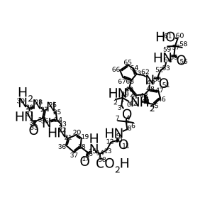 CC(C)(COC(C)(C)CNC(=O)CCC(NC(=O)c1ccc(NCc2cnc3nc(N)[nH]c(=O)c3n2)cc1)C(=O)O)N/C1=C(\N)c2ccccc2N(C(=O)CCNC(=O)C(C)(C)CO)Cc2ccccc21